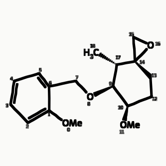 COc1ccccc1CO[C@@H]1[C@H](OC)CC[C@]2(CO2)[C@H]1C